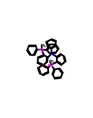 C[PH](c1ccccc1)(c1ccccc1)c1ccccc1N(c1ccccc1)c1ccccc1[PH](C)(c1ccccc1)c1ccccc1